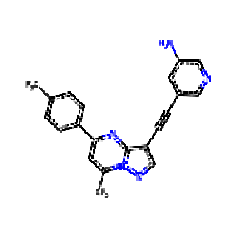 Nc1cncc(C#Cc2cnn3c(C(F)(F)F)cc(-c4ccc(C(F)(F)F)cc4)nc23)c1